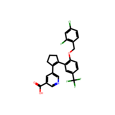 O=C(O)c1cncc(C2=C(c3cc(C(F)(F)F)ccc3OCc3ccc(Cl)cc3F)CCC2)c1